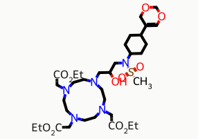 CCOC(=O)CN1CCN(CC(=O)OCC)CCN(CC(O)CN(C2CCC(C3=COCOC3)CC2)S(C)(=O)=O)CCN(CC(=O)OCC)CC1